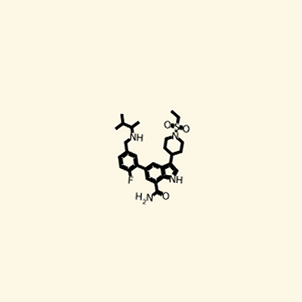 CCS(=O)(=O)N1CCC(c2c[nH]c3c(C(N)=O)cc(-c4cc(CNC(C)C(C)C)ccc4F)cc23)CC1